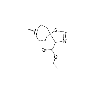 CCOC(=O)C1N=CSC12CCN(C)CC2